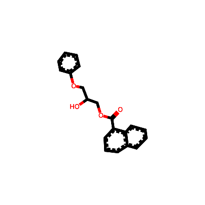 O=C(OCC(O)COc1ccccc1)c1cccc2ccccc12